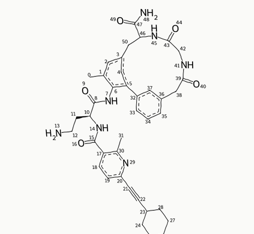 Cc1cc2cc(c1NC(=O)[C@H](CCN)NC(=O)c1ccc(C#CC3CCCCC3)nc1C)-c1cccc(c1)CC(=O)NCC(=O)NC(C(N)=O)C2